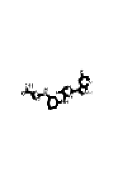 O=C(O)c1coc(NC2CCCC(Nc3nc(-c4c[nH]c5ncc(F)cc45)ncc3F)C2)n1